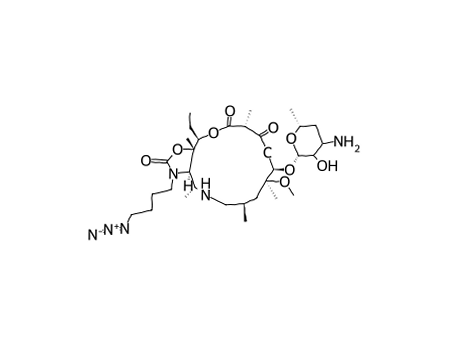 CC[C@H]1OC(=O)[C@H](C)C(=O)C[C@@H](O[C@@H]2O[C@H](C)CC(N)C2O)[C@@](C)(OC)C[C@@H](C)CN[C@H](C)[C@H]2N(CCCCN=[N+]=[N-])C(=O)O[C@]12C